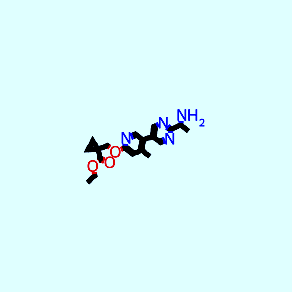 CCOC(=O)C1(COc2cc(C)c(-c3cnc(C(C)N)nc3)cn2)CC1